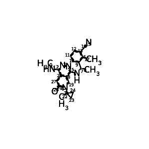 CNc1nnc(N[C@H](C)c2cccc(C#N)c2C)c2cn(C3(C)CC3)c(=O)cc12